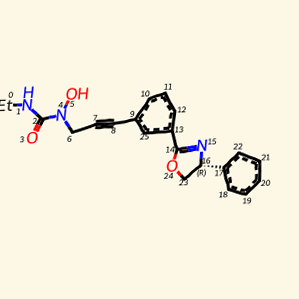 CCNC(=O)N(O)CC#Cc1cccc(C2=N[C@H](c3ccccc3)CO2)c1